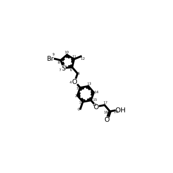 Cc1cc(OCc2sc(Br)cc2C)ccc1OCC(=O)O